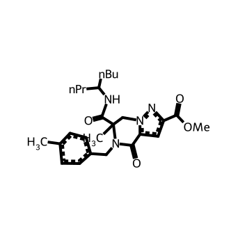 CCCCC(CCC)NC(=O)C1(C)Cn2nc(C(=O)OC)cc2C(=O)N1Cc1ccc(C)cc1